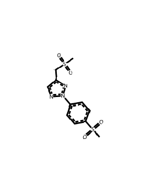 CS(=O)(=O)[CH]c1cnn(-c2ccc(S(C)(=O)=O)cc2)n1